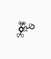 COC(=O)c1ccc([N+](=O)[O-])c(NCC2CCCCO2)c1